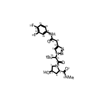 CNC(=O)[C@H]1CC(O)CN1C(=O)C(n1cc(CC(=O)Nc2ccc(F)c(F)c2)nn1)C(C)(C)C